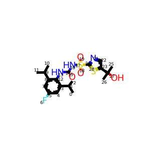 CC(C)c1cc(F)cc(C(C)C)c1NC(=O)NS(=O)(=O)c1ncc(C(C)(C)O)s1